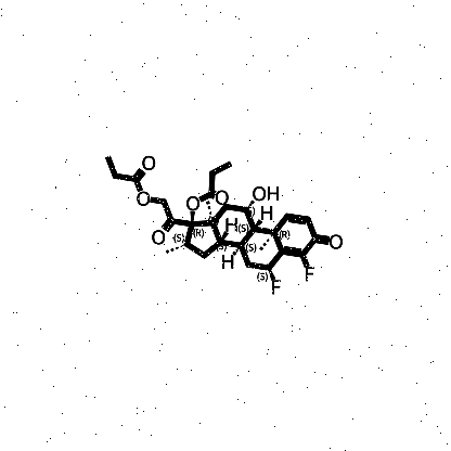 CCC(=O)OCC(=O)[C@@]1(OC(=O)CC)[C@@H](C)C[C@H]2[C@@H]3C[C@H](F)C4=C(F)C(=O)C=C[C@]4(C)[C@H]3[C@@H](O)C[C@@]21C